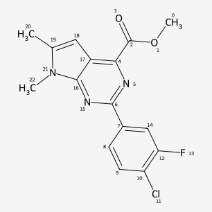 COC(=O)c1nc(-c2ccc(Cl)c(F)c2)nc2c1cc(C)n2C